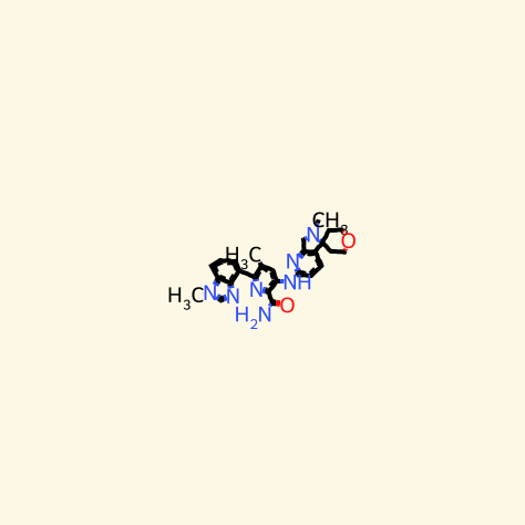 Cc1cc(Nc2ccc3c(n2)CN(C)C32CCOCC2)c(C(N)=O)nc1-c1cccc2c1ncn2C